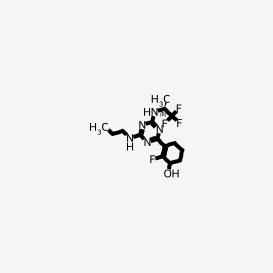 CCCNc1nc(N[C@H](C)C(F)(F)F)nc(C2=C(F)C(O)CCC2)n1